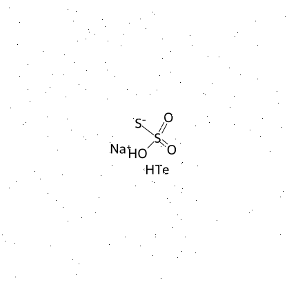 O=S(=O)(O)[S-].[Na+].[TeH]